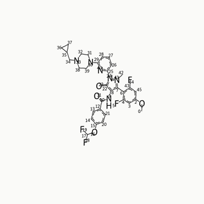 COc1cc(F)c(-c2c(NC(=O)c3ccc(OC(F)F)cc3)c(=O)n(-c3cccc(N4CCN(CC5CC5)CC4)n3)n2C)c(F)c1